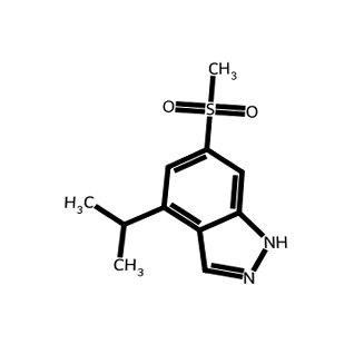 CC(C)c1cc(S(C)(=O)=O)cc2[nH]ncc12